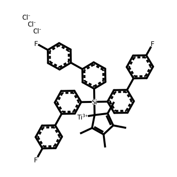 CC1=C(C)[C]([Ti+3])([Si](c2cccc(-c3ccc(F)cc3)c2)(c2cccc(-c3ccc(F)cc3)c2)c2cccc(-c3ccc(F)cc3)c2)C(C)=C1C.[Cl-].[Cl-].[Cl-]